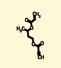 C#CC(=O)OCCC(C)OC(=O)C=C